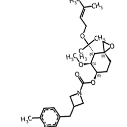 CO[C@H]1[C@H](C(C)(C)OCC=C(C)C)[C@]2(CC[C@H]1OC(=O)N1CC(Cc3ccc(C)nc3)C1)CO2